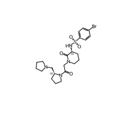 O=C1[C@@H](NS(=O)(=O)c2ccc(Br)cc2)CCCN1CC(=O)N1CCC[C@H]1CN1CCCC1